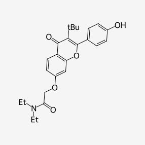 CCN(CC)C(=O)COc1ccc2c(=O)c(C(C)(C)C)c(-c3ccc(O)cc3)oc2c1